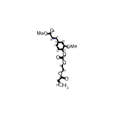 C=CC(=O)OCCOC(=O)Oc1ccc(/C=C/C(=O)OC)cc1OC